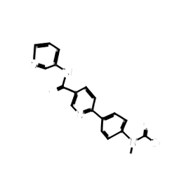 CCC(=O)N(C)c1ccc(-c2ccc(C(=O)Nc3cccnc3)cn2)cc1